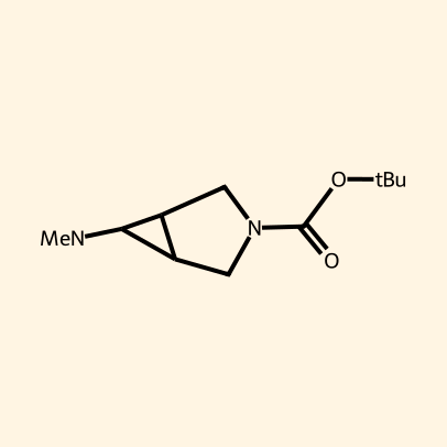 CNC1C2CN(C(=O)OC(C)(C)C)CC21